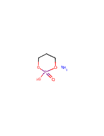 N.O=P1(O)OCCCO1